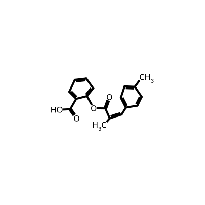 CC(=Cc1ccc(C)cc1)C(=O)Oc1ccccc1C(=O)O